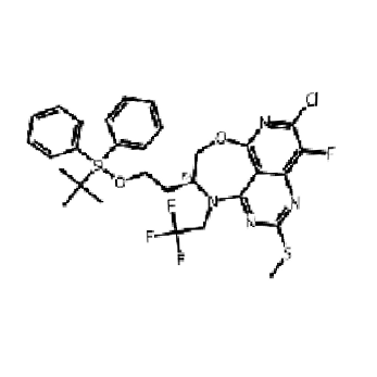 CSc1nc2c3c(nc(Cl)c(F)c3n1)OC[C@H](CCO[Si](c1ccccc1)(c1ccccc1)C(C)(C)C)N2CC(F)(F)F